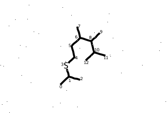 CC(C)SCCC(C)C(C)C(C)C